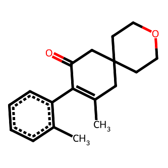 CC1=C(c2ccccc2C)C(=O)CC2(CCOCC2)C1